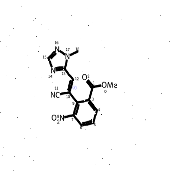 COC(=O)c1cccc([N+](=O)[O-])c1/C(C#N)=C/c1ncnn1C